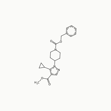 COC(=O)c1cnn(C2CCN(C(=O)OCc3ccccc3)CC2)c1C1CC1